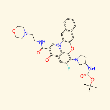 CC(C)(C)OC(=O)N[C@@H]1CCN(c2c(F)cc3c(=O)c(C(=O)NCCN4CCOCC4)cn4c3c2Oc2cc3ccccc3cc2-4)C1